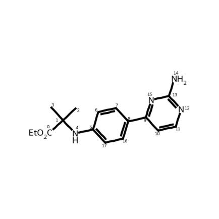 CCOC(=O)C(C)(C)Nc1ccc(-c2ccnc(N)n2)cc1